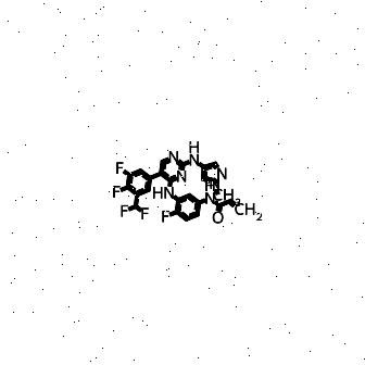 C=CC(=O)Nc1ccc(F)c(Nc2nc(Nc3cnn(C)c3)ncc2-c2cc(F)c(F)c(C(F)F)c2)c1